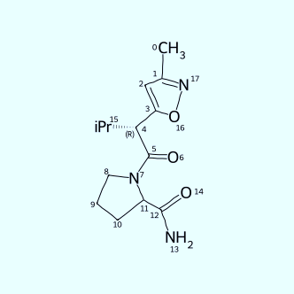 Cc1cc([C@H](C(=O)N2CCCC2C(N)=O)C(C)C)on1